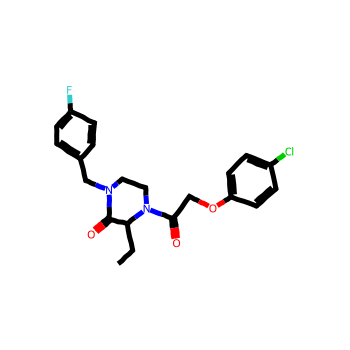 CCC1C(=O)N(Cc2ccc(F)cc2)CCN1C(=O)COc1ccc(Cl)cc1